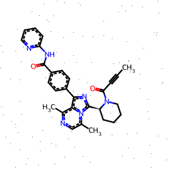 CC#CC(=O)N1CCCC[C@H]1c1nc(-c2ccc(C(=O)Nc3ccccn3)cc2)c2c(C)ncc(C)n12